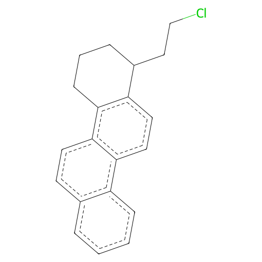 ClCCC1CCCc2c1ccc1c2ccc2ccccc21